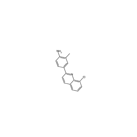 Cc1cc(-c2ccc3cccc(Cl)c3n2)ccc1N